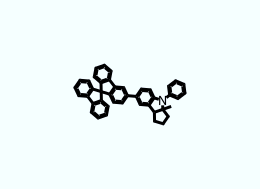 CC12CCCC1c1cc(-c3ccc4c(c3)-c3ccccc3C43c4ccccc4-c4ccccc43)ccc1N2c1ccccc1